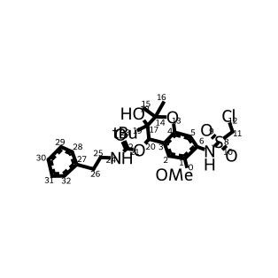 COc1cc2c(cc1NS(=O)(=O)CCl)OC(C)(C)C(O)(C(C)(C)C)C2OC(=O)NCCc1ccccc1